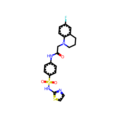 O=C(CN1CCCc2cc(F)ccc21)Nc1ccc(S(=O)(=O)Nc2nccs2)cc1